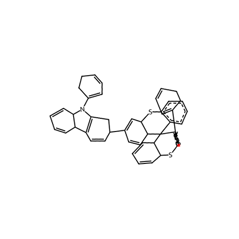 C1=CCCC(c2cccc3c2C2(c4ccccc4SC4C=C(C5C=CC6=C(C5)N(C5=CC=CCC5)C5C=CC=CC65)C=CC42)C2C=CC=CC2S3)=C1